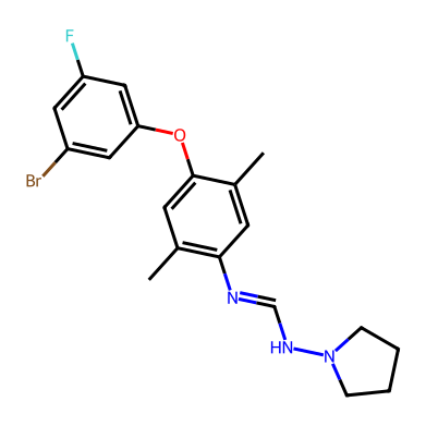 Cc1cc(Oc2cc(F)cc(Br)c2)c(C)cc1/N=C/NN1CCCC1